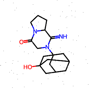 N=C1C2CCCN2C(=O)CN1C12CC3CC(CC(O)(C3)C1)C2